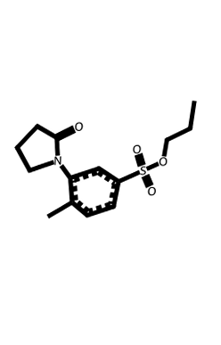 CCCOS(=O)(=O)c1ccc(C)c(N2CCCC2=O)c1